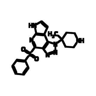 CC1(n2nnc3c(S(=O)(=O)c4ccccc4)nc4[nH]ccc4c32)CCNCC1